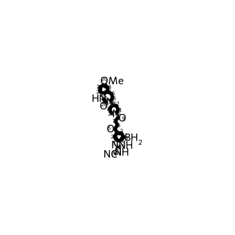 Bc1cc(C(=O)CCC(=O)N2CCC(N3CCc4cc(OC)ccc4NC3=O)CC2)cc2nc(NC#N)[nH]c12